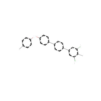 Cc1ccc(Oc2ccc(-c3ccc(-c4cc(F)c(C)c(F)c4)cc3)cc2)cc1